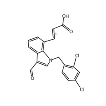 O=Cc1cn(Cc2ccc(Cl)cc2Cl)c2c(/C=C/C(=O)O)cccc12